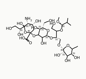 CO[C@H](OC(CO)[C@H](CO[C@@H]1OC(C)[C@@H](O)C(O)[C@@H]1O)O[C@@H]1O[C@@H](CO)[C@H](O)C(O[C@]2(C(=O)O)C[C@@H](O)[C@@H](N)[C@@](O)([C@H](O)CO)O2)C1O)C(C)C